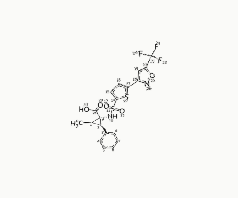 C[C@@H]1[C@H](c2ccccc2)[C@]1(NS(=O)(=O)c1ccc(-c2cc(C(F)(F)F)on2)s1)C(=O)O